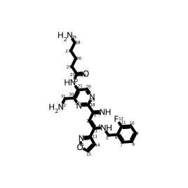 N=C(/C=C(\NCc1ccccc1F)c1ccon1)c1ncc(NC(=O)CCCCN)c(CN)n1